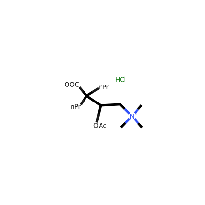 CCCC(CCC)(C(=O)[O-])C(C[N+](C)(C)C)OC(C)=O.Cl